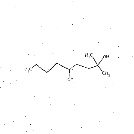 CCCCC(O)CCC(C)(C)O